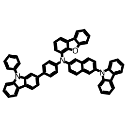 c1ccc(-n2c3ccccc3c3ccc(-c4ccc(N(c5ccc6cc(-n7c8ccccc8c8ccccc87)ccc6c5)c5cccc6c5oc5ccccc56)cc4)cc32)cc1